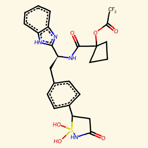 O=C1CC(c2ccc(C[C@H](NC(=O)C3(OC(=O)C(F)(F)F)CCC3)c3nc4ccccc4[nH]3)cc2)S(O)(O)N1